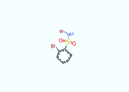 O=S(=O)(NBr)c1ccccc1Br